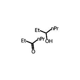 CCCC(=O)CC.CCCC(O)CC